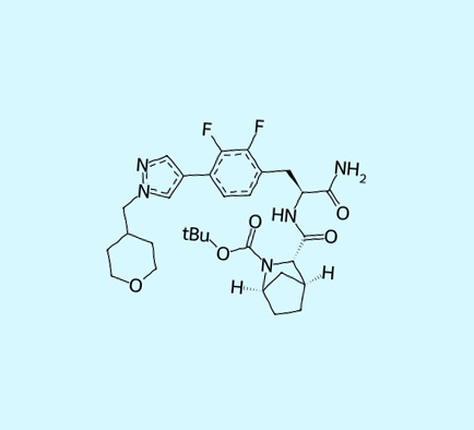 CC(C)(C)OC(=O)N1[C@@H]2CC[C@@H](C2)[C@H]1C(=O)N[C@@H](Cc1ccc(-c2cnn(CC3CCOCC3)c2)c(F)c1F)C(N)=O